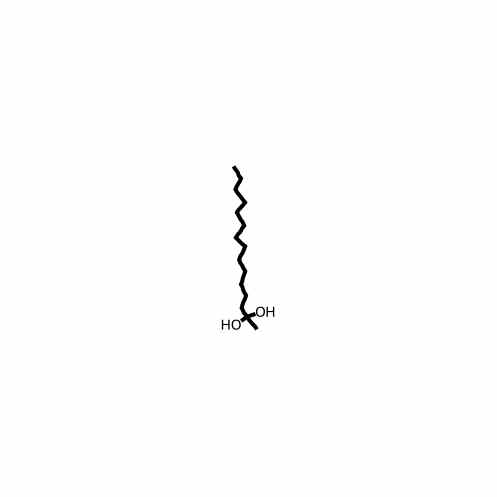 CCCCCCCCCCCCCC(C)(O)O